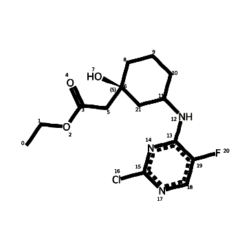 CCOC(=O)C[C@]1(O)CCCC(Nc2nc(Cl)ncc2F)C1